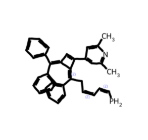 Cc1cc(C2=CC(=C(c3ccccc3)c3ccccc3)/C2=C(/C/C=C\C=C/P)c2ccccc2)cc(C)n1